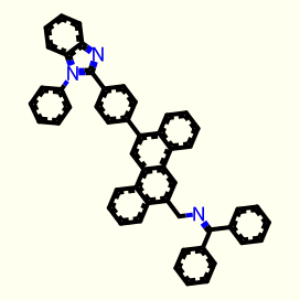 c1ccc(C(=NCc2cc3c4ccccc4c(-c4ccc(-c5nc6ccccc6n5-c5ccccc5)cc4)cc3c3ccccc23)c2ccccc2)cc1